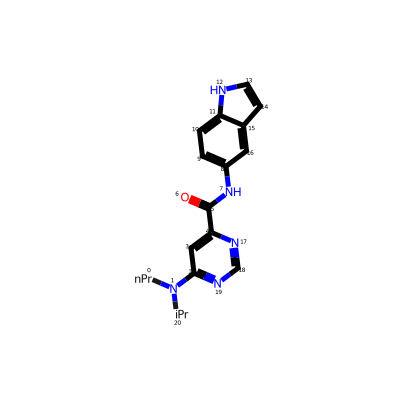 CCCN(c1cc(C(=O)Nc2ccc3[nH]ccc3c2)ncn1)C(C)C